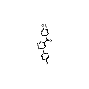 Cc1ccc(C(=O)c2cnnc(-c3ccc(F)cc3)c2)cc1